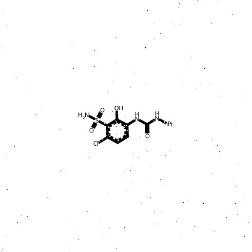 CC(C)NC(=O)Nc1ccc(Cl)c(S(N)(=O)=O)c1O